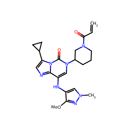 C=CC(=O)N1CCCC(n2cc(Nc3cn(C)nc3OC)c3ncc(C4CC4)n3c2=O)C1